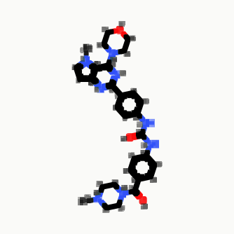 CCn1ccc2nc(-c3ccc(NC(=O)Nc4ccc(C(=O)N5CCN(C(C)C)CC5)cc4)cc3)nc(N3CCOCC3)c21